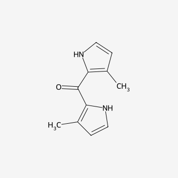 Cc1cc[nH]c1C(=O)c1[nH]ccc1C